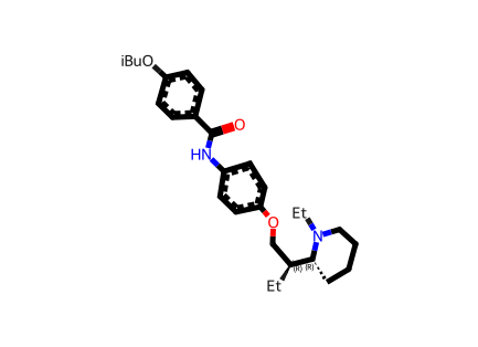 CC[C@@H](COc1ccc(NC(=O)c2ccc(OCC(C)C)cc2)cc1)[C@H]1CCCCN1CC